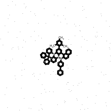 Cc1cc(C)c(-c2cc3c4c(c2)N2c5ccccc5C(c5ccccc5)(c5ccccc5)c5cccc(c52)B4N(c2ccc(-c4ccccc4)cc2)c2ccc4ccccc4c2-3)c(C)c1